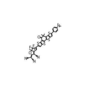 CN(C)c1ccc(-c2cc3sc4c(c3s2)C(C)(C)C(=O)c2c-4sc3cc(/C=C/C4=C(C#N)C(=C(C#N)C#N)OC4(C)C(F)(F)F)sc23)cc1